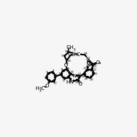 COc1cccc(-c2cc3c4nc(c(=O)[nH]c4c2)-c2cccc4c(=O)n([nH]c24)CCN2CC(C[C@H]2C)O3)c1